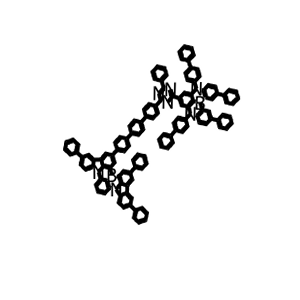 c1ccc(-c2ccc(N3c4ccc(-c5ccccc5)cc4B4c5cc(-c6ccccc6)ccc5N(c5ccc(-c6ccccc6)cc5)c5cc(-c6nc(-c7ccccc7)nc(-c7ccc(-c8ccc(-c9ccc(-c%10cc%11c%12c(c%10)c%10cc(-c%13ccccc%13)ccc%10n%12-c%10cccc%12c%10B%11c%10cc(-c%11ccccc%11)cc%11c%13cc(-c%14ccccc%14)ccc%13n-%12c%10%11)cc9)cc8)cc7)n6)cc3c54)cc2)cc1